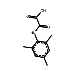 Cc1cc(C)c(NC(=O)C(=O)O)c(C)c1